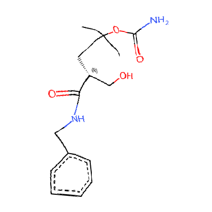 CC(C)(C[C@H](CO)C(=O)NCc1ccccc1)OC(N)=O